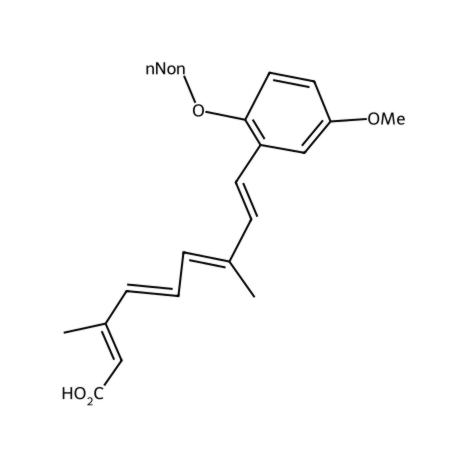 CCCCCCCCCOc1ccc(OC)cc1C=CC(C)=CC=CC(C)=CC(=O)O